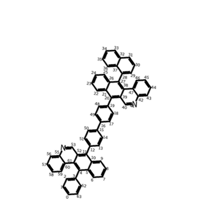 c1ccc(-c2c3ccccc3c(-c3ccc(-c4ccc(-c5c6ccccc6c(-c6cccc7ccccc67)c6c5cnc5ccccc56)cc4)cc3)c3cnc4ccccc4c23)cc1